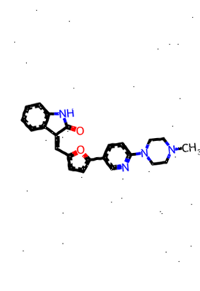 CN1CCN(c2ccc(-c3ccc(C=C4C(=O)Nc5ccccc54)o3)cn2)CC1